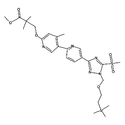 COC(=O)C(C)(C)COc1cc(C)c(-c2ccc(-c3nc(S(C)(=O)=O)n(COCC[Si](C)(C)C)n3)cn2)cn1